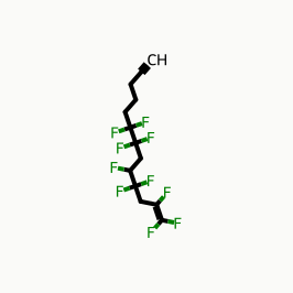 C#CCCCC(F)(F)C(F)(F)CC(F)C(F)(F)CC(F)=C(F)F